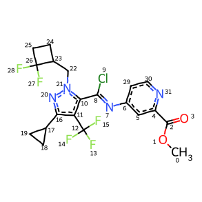 COC(=O)c1cc(/N=C(\Cl)c2c(C(F)(F)F)c(C3CC3)nn2CC2CCC2(F)F)ccn1